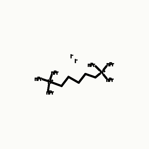 CCC[N+](CCC)(CCC)CCCCC[N+](CCC)(CCC)CCC.[I-].[I-]